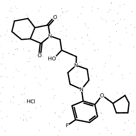 Cl.O=C1C2CCCCC2C(=O)N1CC(O)CN1CCN(c2cc(F)ccc2OC2CCCC2)CC1